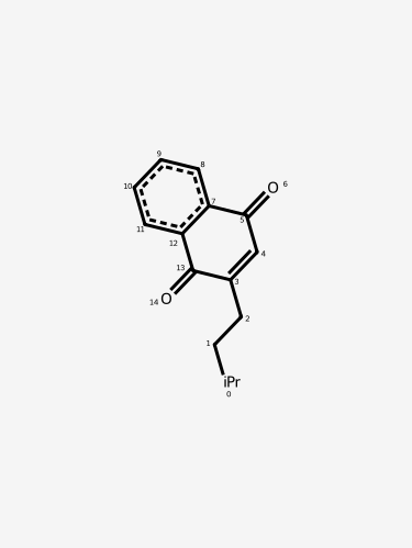 CC(C)CCC1=CC(=O)c2ccccc2C1=O